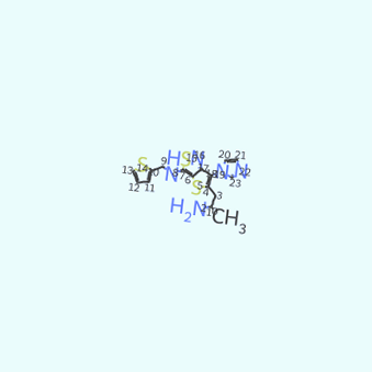 CC(N)Cc1sc2c(NCc3cccs3)snc2c1-n1ccnc1